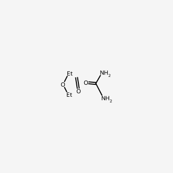 C=O.CCOCC.NC(N)=O